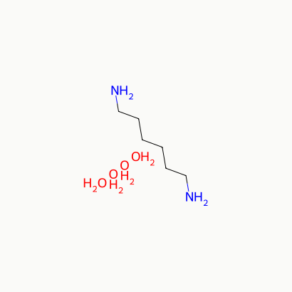 NCCCCCCN.O.O.O.O